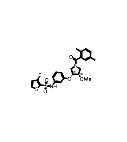 CO[C@@H]1CN(C(=O)c2cc(C)ccc2C)C[C@H]1Oc1cccc(NS(=O)(=O)c2sccc2Cl)c1